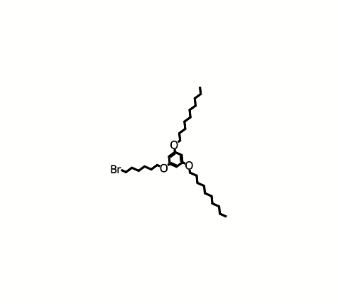 CCCCCCCCCCOc1cc(OCCCCCCBr)cc(OCCCCCCCCCC)c1